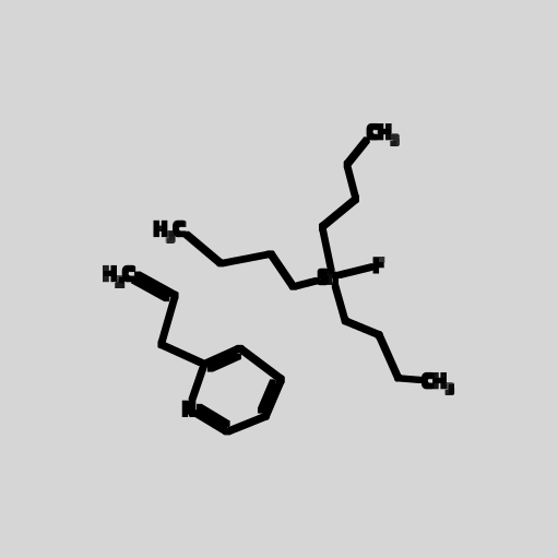 C=CCc1ccccn1.CCC[CH2][Sn]([F])([CH2]CCC)[CH2]CCC